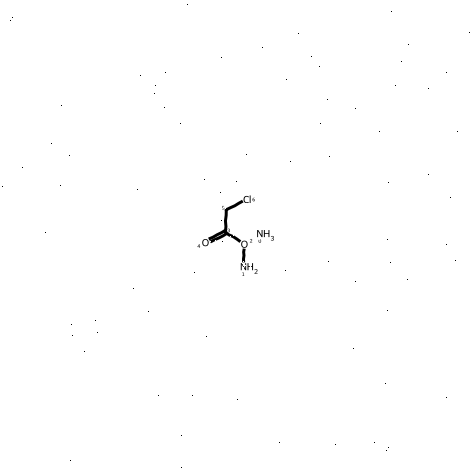 N.NOC(=O)CCl